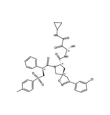 CCC[C@H](NC(=O)[C@@H]1C[C@]2(CC(c3cccc(Cl)c3)=NO2)CN1C(=O)[C@@H](CS(=O)(=O)c1ccc(C)cc1)c1ccccc1)C(=O)C(=O)NC1CC1